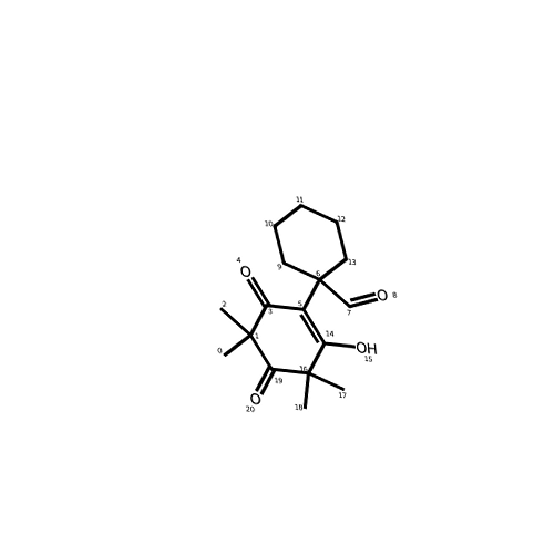 CC1(C)C(=O)C(C2(C=O)CCCCC2)=C(O)C(C)(C)C1=O